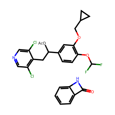 CC(=O)OC(Cc1c(Cl)cncc1Cl)c1ccc(OC(F)F)c(OCC2CC2)c1.O=C1Nc2ccccc21